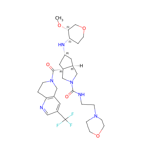 CO[C@@H]1COCC[C@@H]1N[C@@H]1C[C@H]2CN(C(=O)NCCN3CCOCC3)C[C@@]2(C(=O)N2CCc3ncc(C(F)(F)F)cc3C2)C1